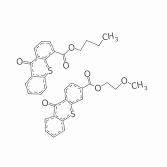 CCCCOC(=O)c1cccc2c(=O)c3ccccc3sc12.COCCOC(=O)c1ccc2c(=O)c3ccccc3sc2c1